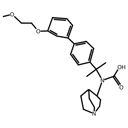 COCCOc1cccc(-c2ccc(C(C)(C)N(C(=O)O)C3CCN4CCC3CC4)cc2)c1